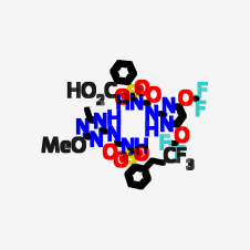 COc1nc(C)nc(NC(=O)NS(=O)(=O)c2ccccc2CCC(F)(F)F)n1.O=C(Nc1nc(OC(F)F)cc(OC(F)F)n1)NS(=O)(=O)c1ccccc1C(=O)O